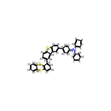 c1ccc(N(c2ccccc2)c2ccc(-c3ccc4sc5ccc(-c6cccc7c6Sc6ccccc6S7)cc5c4c3)cc2)cc1